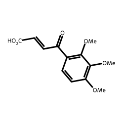 COc1ccc(C(=O)/C=C/C(=O)O)c(OC)c1OC